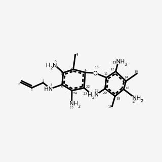 C=CCNc1c(N)c(C)c(Oc2c(N)c(C)c(N)c(C)c2N)c(C)c1N